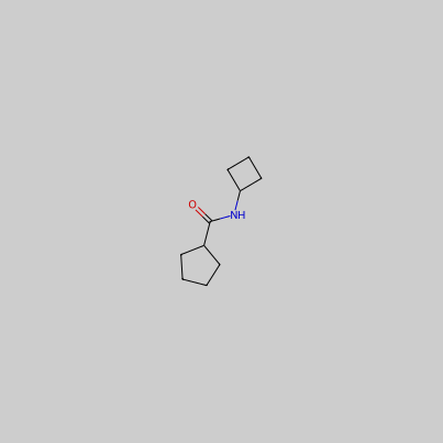 O=C(NC1CCC1)C1CCCC1